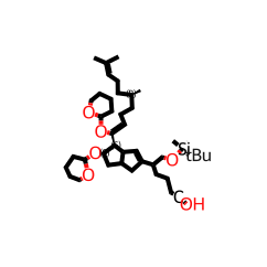 CC(C)=CCC[C@@H](C)CCC=C(OC1CCCCO1)[C@H]1C2C=C(C(CCCCO)CO[Si](C)(C)C(C)(C)C)CC2C[C@@H]1OC1CCCCO1